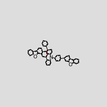 c1ccc(-c2ccc(N(c3ccc(-c4ccc5c(c4)oc4ccccc45)cc3)c3ccccc3-c3ccc4ccc5c6ccccc6oc5c4c3)cc2)cc1